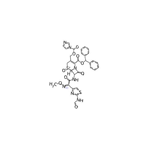 CO/N=C(\C(=O)NC1C(=O)N2C(C(=O)OC(c3ccccc3)c3ccccc3)=C(COC(=O)n3ccnc3)C[S+]([O-])[C@H]12)c1csc(NC=O)n1